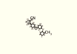 Cc1ccccc1Cc1cccc(Oc2ccc(N3CCC[C@H]3CC#N)cc2)c1